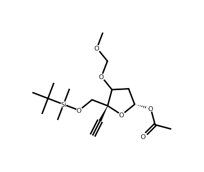 C#C[C@]1(CO[Si](C)(C)C(C)(C)C)O[C@@H](OC(C)=O)CC1OCOC